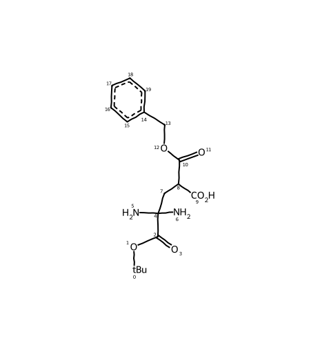 CC(C)(C)OC(=O)C(N)(N)CC(C(=O)O)C(=O)OCc1ccccc1